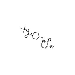 CC(C)(C)OC(=O)N1CCC(Cn2cccc(Br)c2=O)CC1